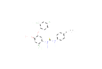 COc1ccc(NC(=S)Nc2cc(Oc3ccc(Cl)cc3Cl)c(O)cc2Cl)cc1